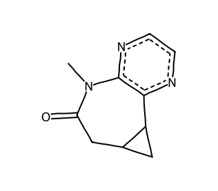 CN1C(=O)CC2CC2c2nccnc21